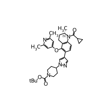 Cc1cc(Oc2c(-c3cnn(C4CCN(C(=O)OC(C)(C)C)CC4)c3)ccc3c2CC[C@H](C)N3C(=O)C2CC2)cc(C)n1